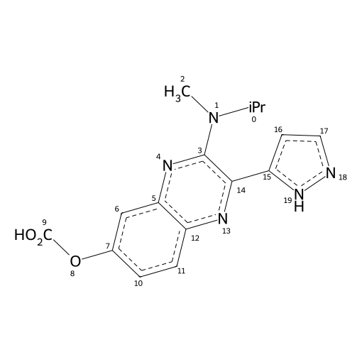 CC(C)N(C)c1nc2cc(OC(=O)O)ccc2nc1-c1ccn[nH]1